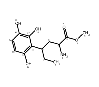 CCC(CC(N)C(=O)OC)c1c(O)ccc(O)c1O